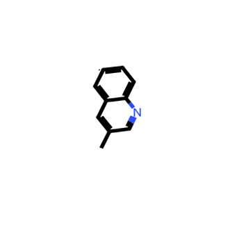 Cc1cnc2cc[c]cc2c1